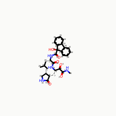 CNC(=O)C(=O)[C@H](C[C@H]1CCNC1=O)NC(=O)[C@H](CC(C)C)NC(=O)C1(O)c2ccccc2-c2ccccc21